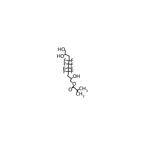 C=C(C)C(=O)OCC(O)CC(F)(F)C(F)(F)C(F)(F)C(F)(F)CC(O)CO